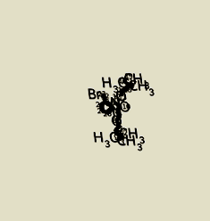 C[Si](C)(C)CCOCn1c(=O)n(COCC[Si](C)(C)C)c2c(CBr)cccc21